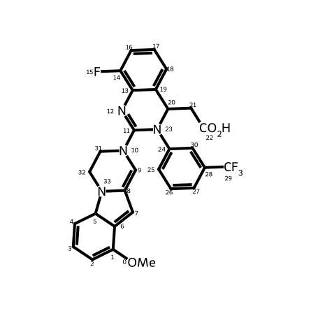 COC1=CC=CC2C1=CC1=CN(C3=Nc4c(F)cccc4C(CC(=O)O)N3c3cccc(C(F)(F)F)c3)CCN12